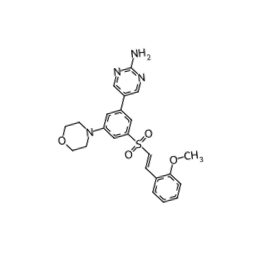 COc1ccccc1/C=C/S(=O)(=O)c1cc(-c2cnc(N)nc2)cc(N2CCOCC2)c1